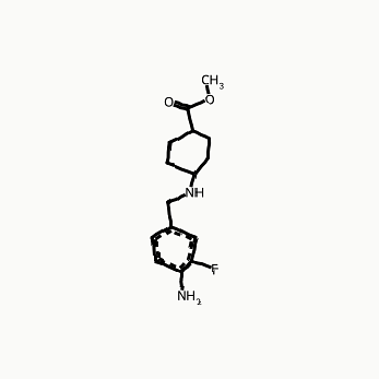 COC(=O)C1CCC(NCc2ccc(N)c(F)c2)CC1